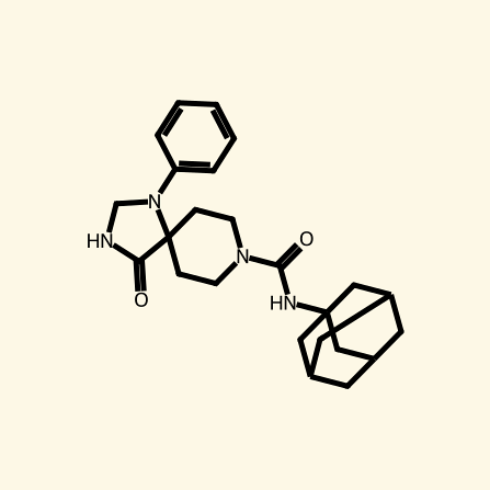 O=C(NC12CC3CC(CC(C3)C1)C2)N1CCC2(CC1)C(=O)NCN2c1ccccc1